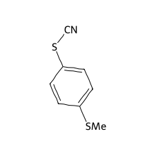 CSc1ccc(SC#N)cc1